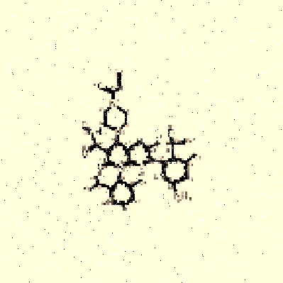 C=CC(=O)N1CCN(c2c(C(=O)NC)c(=O)n(-c3c(C)ccnc3C(C)C)c3nc(-c4nc(N)cc(C)c4C(F)(F)F)c(F)cc23)CC1